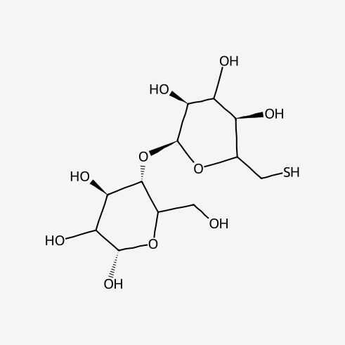 OCC1O[C@H](O)C(O)[C@@H](O)[C@@H]1O[C@@H]1OC(CS)[C@H](O)C(O)[C@@H]1O